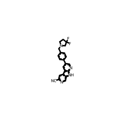 N#Cc1cc2c(cn1)[nH]c1ncc(-c3ccc(CN4CCC(F)(F)C4)cc3)cc12